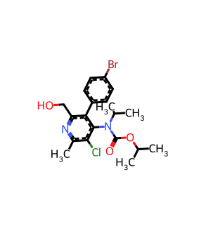 Cc1nc(CO)c(-c2ccc(Br)cc2)c(N(C(=O)OC(C)C)C(C)C)c1Cl